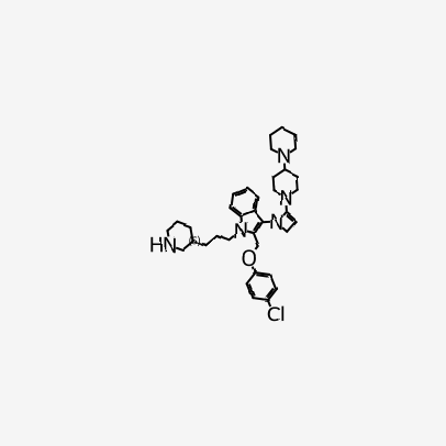 Clc1ccc(OCc2c(N3CC=C3N3CCC(N4CCCCC4)CC3)c3ccccc3n2CCC[C@@H]2CCCNC2)cc1